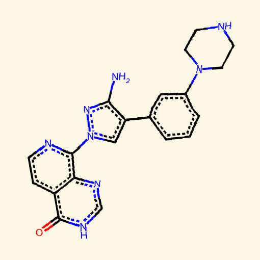 Nc1nn(-c2nccc3c(=O)[nH]cnc23)cc1-c1cccc(N2CCNCC2)c1